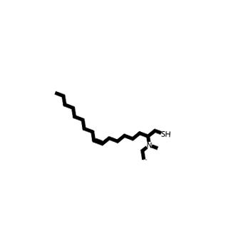 [CH2]CN(C)C(CS)CCCCC/C=C\CCCCCCCC